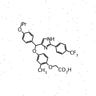 Cc1cc(OC(c2ccc(OC(C)C)cc2)c2c[nH]c(-c3ccc(C(F)(F)F)cc3)n2)ccc1OCC(=O)O